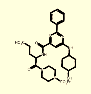 CCOC(=O)N1CCN(C(=O)C(CCC(=O)O)NC(=O)c2cc(NC3CCC(O)CC3)nc(-c3ccccc3)n2)CC1